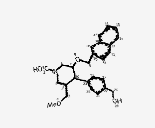 COCC1CN(C(=O)O)CC(OCc2ccc3ccccc3c2)C1c1ccc(CO)cc1